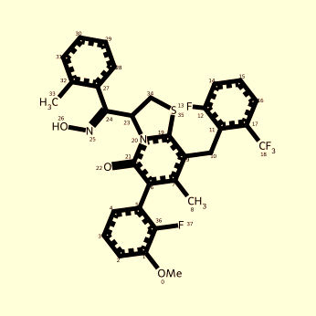 COc1cccc(-c2c(C)c(Cc3c(F)cccc3C(F)(F)F)c3n(c2=O)C(C(=NO)c2ccccc2C)CS3)c1F